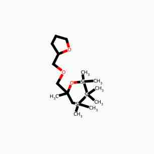 CC1(COCC2CCCO2)C[Si](C)(C)[Si](C)(C)[Si](C)(C)O1